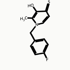 Cc1c(O)c(=S)ccn1Cc1ccc(F)cc1